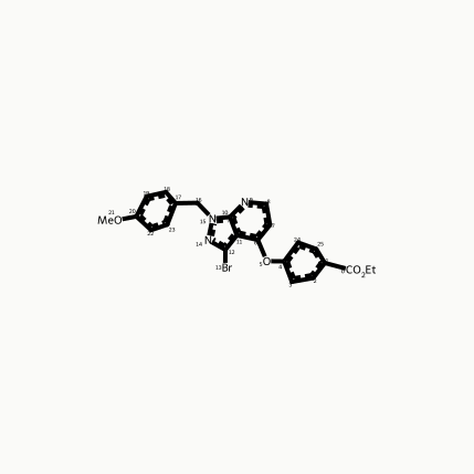 CCOC(=O)c1ccc(Oc2ccnc3c2c(Br)nn3Cc2ccc(OC)cc2)cc1